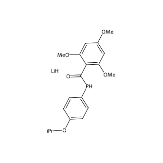 COc1cc(OC)c(C(=O)Pc2ccc(OC(C)C)cc2)c(OC)c1.[LiH]